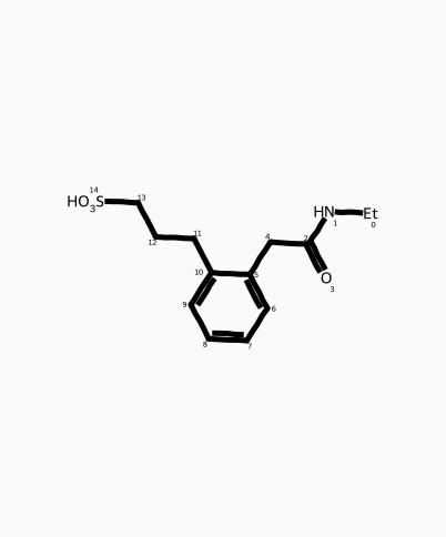 CCNC(=O)Cc1ccccc1CCCS(=O)(=O)O